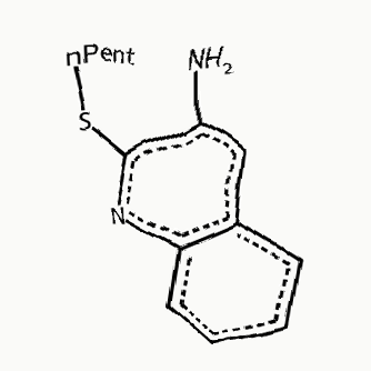 CCCCCSc1nc2ccccc2cc1N